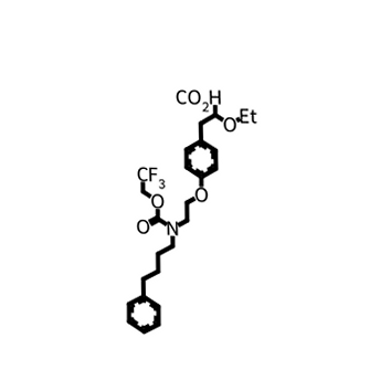 CCOC(Cc1ccc(OCCN(CCCCc2ccccc2)C(=O)OCC(F)(F)F)cc1)C(=O)O